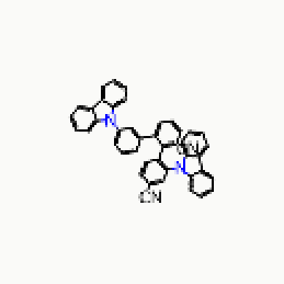 N#Cc1ccc(-c2c(C#N)cccc2-c2cccc(-n3c4ccccc4c4ccccc43)c2)c(-n2c3ccccc3c3ccccc32)c1